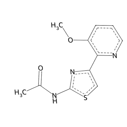 COc1cccnc1-c1csc(NC(C)=O)n1